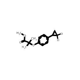 COC(=O)C(C)(C)Oc1ccc(C2CC2(Cl)Cl)cc1